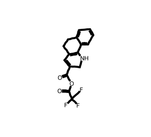 O=C(OC(=O)C(F)(F)F)C1=CC2=C(NC1)c1ccccc1CC2